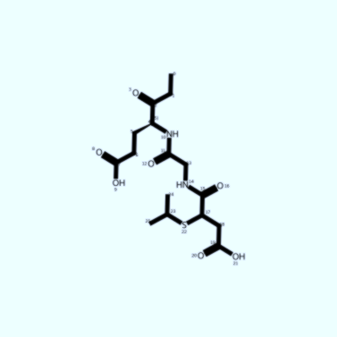 CCC(=O)[C@H](CCC(=O)O)NC(=O)CNC(=O)C(CC(=O)O)SC(C)C